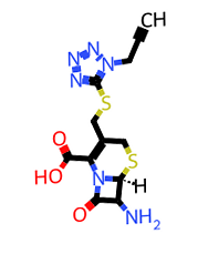 C#CCn1nnnc1SCC1=C(C(=O)O)N2C(=O)C(N)[C@@H]2SC1